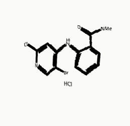 CNC(=O)c1ccccc1Nc1cc(Cl)ncc1Br.Cl